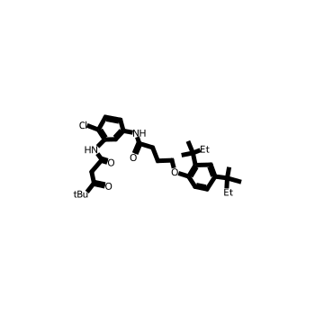 CCC(C)(C)c1ccc(OCCCC(=O)Nc2ccc(Cl)c(NC(=O)CC(=O)C(C)(C)C)c2)c(C(C)(C)CC)c1